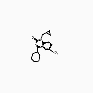 O=c1nc(C2CCCCC2)c2cc([N+](=O)[O-])ccc2n1CC1CC1